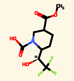 COC(=O)C1CCC([C@@H](O)C(F)(F)F)N(C(=O)O)C1